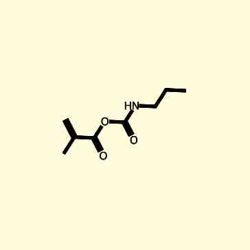 C=C(C)C(=O)OC(=O)NCCC